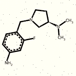 CN(C)[C@@H]1CCN(Cc2ccc(N)cc2F)C1